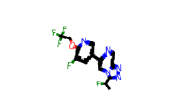 CC(F)c1nnc2cnc(-c3cnc(OCC(F)(F)F)c(F)c3)cn12